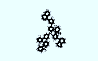 c1cc(-c2ccc(N(c3ccc(-c4ccccc4-c4cccc5sc6ccccc6c45)cc3)c3ccc(-c4cccc5ccccc45)c4oc5ccccc5c34)cc2)cc(-c2cccc3ccccc23)c1